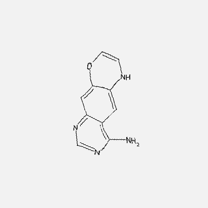 Nc1ncnc2cc3c(cc12)NC=CO3